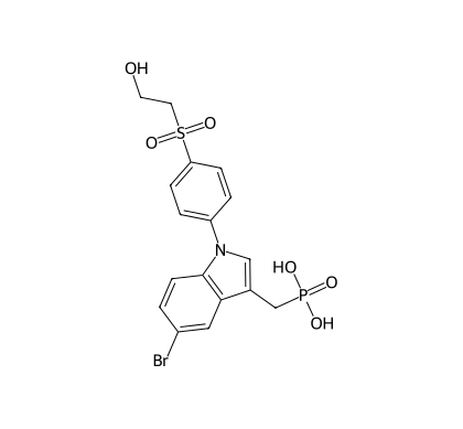 O=P(O)(O)Cc1cn(-c2ccc(S(=O)(=O)CCO)cc2)c2ccc(Br)cc12